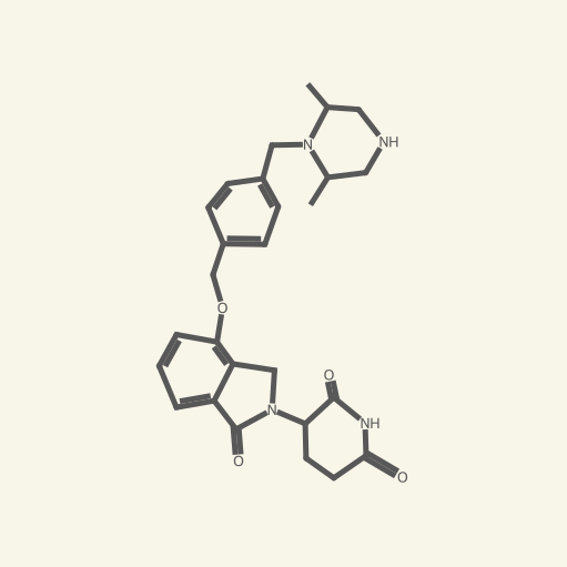 CC1CNCC(C)N1Cc1ccc(COc2cccc3c2CN(C2CCC(=O)NC2=O)C3=O)cc1